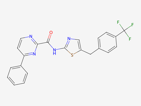 O=C(Nc1ncc(Cc2ccc(C(F)(F)F)cc2)s1)c1nccc(-c2ccccc2)n1